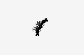 CCN(CC)c1ccc(NC(=O)Nc2cccc(NC(=O)Nc3ccc(N(CC)CC)cc3)c2)cc1